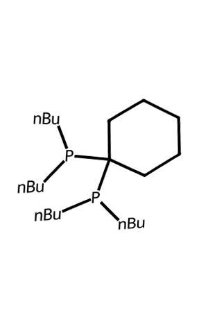 CCCCP(CCCC)C1(P(CCCC)CCCC)CCCCC1